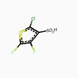 O=S(=O)(O)c1c(Cl)sc(F)c1F